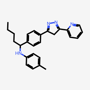 CCCCC(Nc1ccc(C)cc1)c1ccc(C2=NN=C(c3ccccn3)C2)cc1